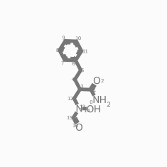 NC(=O)C(CCc1ccccc1)CN(O)C=O